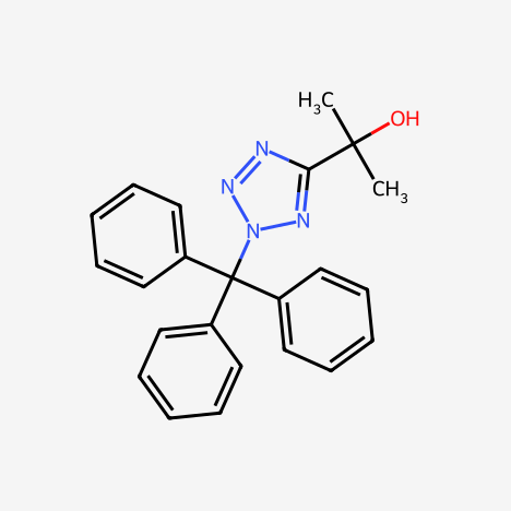 CC(C)(O)c1nnn(C(c2ccccc2)(c2ccccc2)c2ccccc2)n1